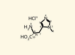 Cl.Cn1cncc1C[C@@H](N)C(=O)O